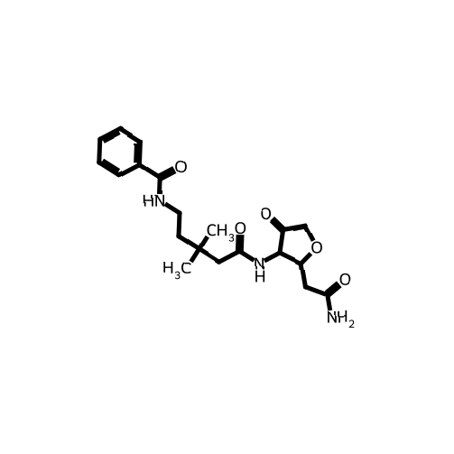 CC(C)(CCNC(=O)c1ccccc1)CC(=O)NC1C(=O)COC1CC(N)=O